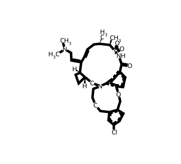 C[C@@H]1[C@@H](C)C/C=C/C(=C\CN(C)C)[C@@H]2CC[C@H]2CN2CCCCc3cc(Cl)ccc3COc3ccc(cc32)C(=O)NS1(=O)=O